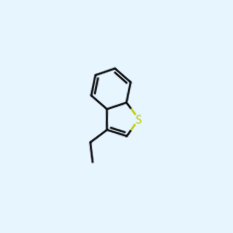 CCC1=CSC2C=CC=CC12